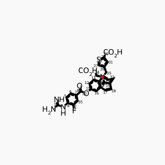 N=C(N)Nc1ccc(C(=O)Oc2ccc3c(c2)\C=C/C(C(=O)N(CC(=O)O)Cc2csc(C(=O)O)c2)=C/C=C/3)cc1F